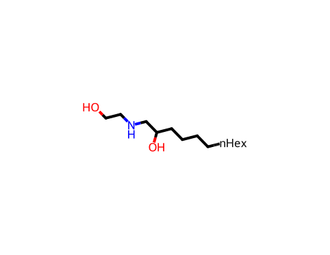 CCCCCCCCCCC(O)CNCCO